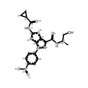 C[C@H](CO)NC(=O)c1nn(-c2ccc([N+](=O)[O-])cc2)c2nc(NC(=O)C3CC3)sc12